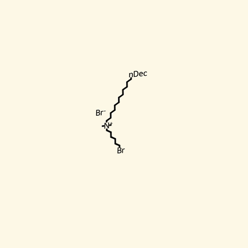 CCCCCCCCCCCCCCCCCCCCCC[N+](C)(C)CCCCCCBr.[Br-]